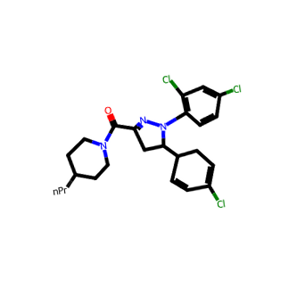 CCCC1CCN(C(=O)C2=NN(c3ccc(Cl)cc3Cl)C(C3C=CC(Cl)=CC3)C2)CC1